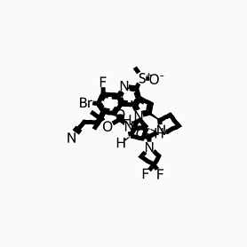 C[S+]([O-])c1nc2c(F)c(Br)c(CCC#N)cc2c2c1cc([C@H]1CCCN1C(=O)N1CC(F)(F)C1)n2[C@H]1[C@@H]2C[C@H]1N(C(=O)OC(C)(C)C)C2